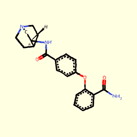 NC(=O)c1ccccc1Oc1ccc(C(=O)N[C@H]2CN3CCC2CC3)cc1